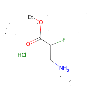 CCOC(=O)C(F)CN.Cl